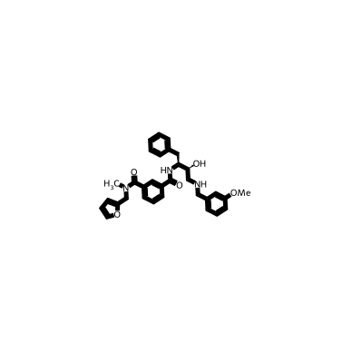 COc1cccc(CNC[C@@H](O)[C@H](Cc2ccccc2)NC(=O)c2cccc(C(=O)N(C)Cc3ccco3)c2)c1